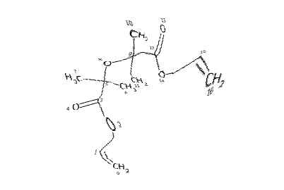 C=COC(=O)C(C)(C)OC(C)(C)C(=O)OC=C